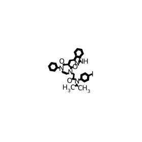 CC(C)N(C(=O)CN1C=CN(c2ccccc2)C(=O)C(=Cc2n[nH]c3ccccc23)C1=O)c1ccc(I)cc1